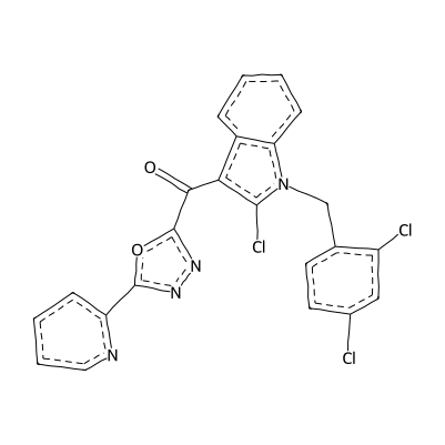 O=C(c1nnc(-c2ccccn2)o1)c1c(Cl)n(Cc2ccc(Cl)cc2Cl)c2ccccc12